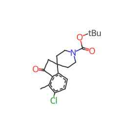 Cc1c(Cl)ccc2c1C(=O)CC21CCN(C(=O)OC(C)(C)C)CC1